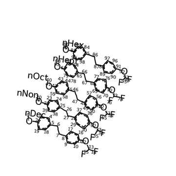 CCCCCCCCCCOc1ccc(CCc2ccc(OC(F)F)cc2)cc1.CCCCCCCCCOc1ccc(CCc2ccc(OC(F)F)cc2)cc1.CCCCCCCCOc1ccc(CCc2ccc(OC(F)F)cc2)cc1.CCCCCCCOc1ccc(CCc2ccc(OC(F)F)cc2)cc1.CCCCCCOc1ccc(CCc2ccc(OC(F)F)cc2)cc1